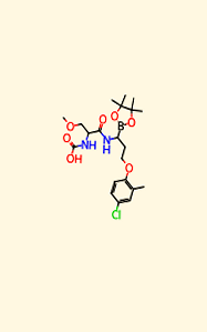 COCC(NC(=O)O)C(=O)NC(CCOc1ccc(Cl)cc1C)B1OC(C)(C)C(C)(C)O1